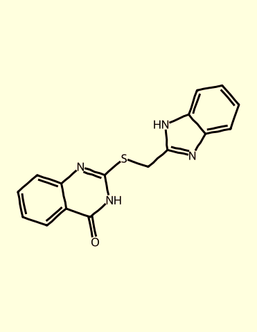 O=c1[nH]c(SCc2nc3ccccc3[nH]2)nc2ccccc12